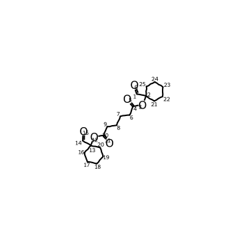 O=CC1(OC(=O)CCCCC(=O)OC2(C=O)CCCCC2)CCCCC1